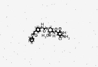 CO[C@H]1CN(CC(=O)Nc2ccc(CC(=O)OC3CN4CCC3CC4)cc2)CC[C@H]1NC(=O)c1cc(Cl)c(N)[nH]c1=O